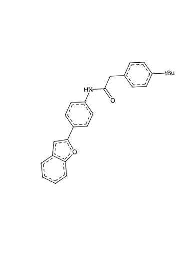 CC(C)(C)c1ccc(CC(=O)Nc2ccc(-c3cc4ccccc4o3)cc2)cc1